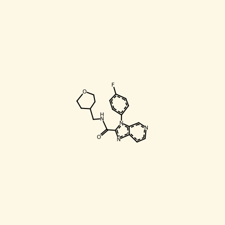 O=C(NCC1CCOCC1)c1nc2ccncc2n1-c1ccc(F)cc1